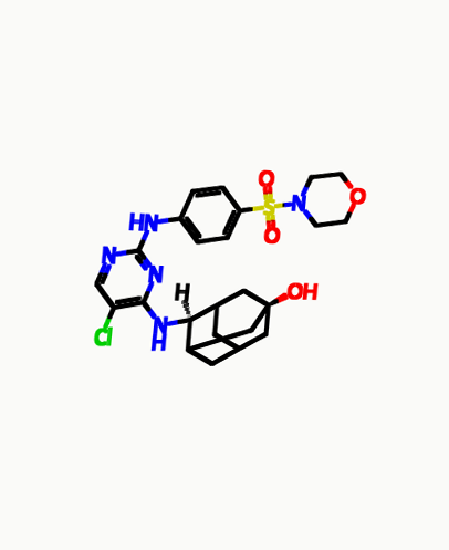 O=S(=O)(c1ccc(Nc2ncc(Cl)c(N[C@H]3C4CC5CC3C[C@@](O)(C5)C4)n2)cc1)N1CCOCC1